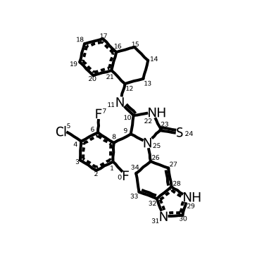 Fc1ccc(Cl)c(F)c1C1/C(=N/C2CCCc3ccccc32)NC(=S)N1C1C=c2[nH]cnc2=CC1